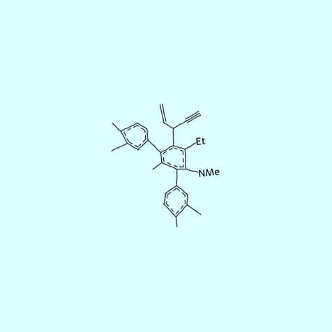 C#CC(C=C)c1c(CC)c(NC)c(-c2ccc(C)c(C)c2)c(C)c1-c1ccc(C)c(C)c1